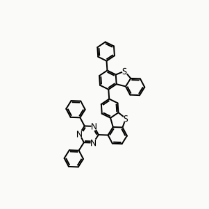 c1ccc(-c2nc(-c3ccccc3)nc(-c3cccc4sc5cc(-c6ccc(-c7ccccc7)c7sc8ccccc8c67)ccc5c34)n2)cc1